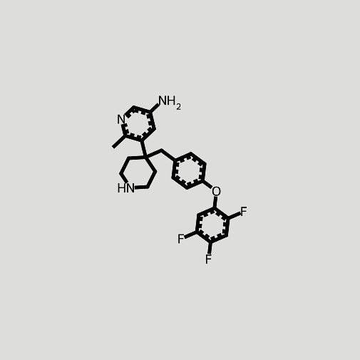 Cc1ncc(N)cc1C1(Cc2ccc(Oc3cc(F)c(F)cc3F)cc2)CCNCC1